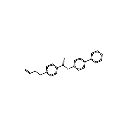 C=CCCc1ccc(C(=O)Oc2ccc(-c3ccccc3)cc2)cc1